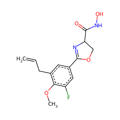 C=CCc1cc(C2=NC(C(=O)NO)CO2)cc(F)c1OC